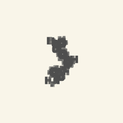 CCOc1ccccc1C(=O)c1ccc(C2CN(CCNc3ccccc3C(N)=O)CCN2)cc1